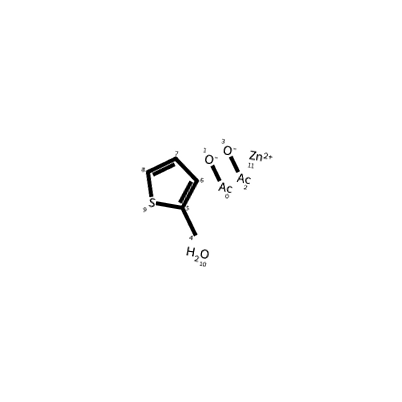 CC(=O)[O-].CC(=O)[O-].Cc1cccs1.O.[Zn+2]